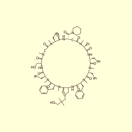 CC[C@H]1C(=O)N[C@@H](CC(C)C)C(=O)N(C)[C@@H](CC(C)C)C(=O)N(C)[C@@H](Cc2ccccc2)C(=O)NC(COCC(C)(C)CO)C(=O)N(C)[C@@H](Cc2ccccc2)C(=O)N(C)[C@@H](CC(C)C)C(=O)N[C@@H]([C@@H](C)O)C(=O)N(C)CC(=O)N(C)[C@@H](CC(C)C)C(=O)N[C@H](C(=O)N2CCCCC2)CC(=O)N1C